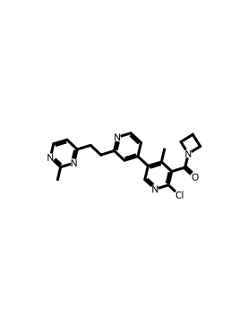 Cc1nccc(CCc2cc(-c3cnc(Cl)c(C(=O)N4CCC4)c3C)ccn2)n1